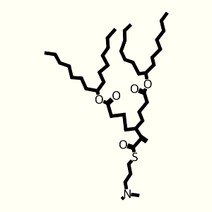 C=C(C(=O)SCCCN(C)C)C(CCCC(=O)OC(CCCCCCC)CCCCCCC)CCCC(=O)OC(CCCCCCC)CCCCCCC